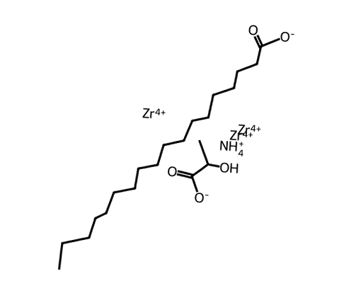 CC(O)C(=O)[O-].CCCCCCCCCCCCCCCCCC(=O)[O-].[NH4+].[Zr+4].[Zr+4].[Zr+4]